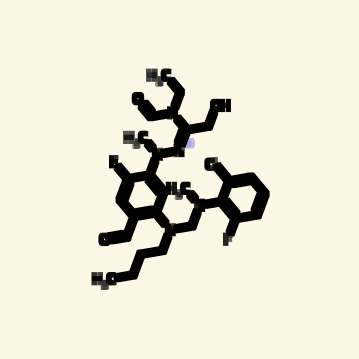 CCCCN(CN(C)c1c(F)cccc1Cl)c1cc(N(C)/N=C(/CO)N(C=O)CC)c(F)cc1C=O